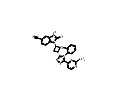 Cc1nccc(-c2nnc([C@H]3C[C@H](n4c(=O)[nH]c5cc(C#N)ccc54)C3)n2-c2ccccc2Cl)n1